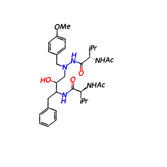 COc1ccc(CN(CC(O)C(Cc2ccccc2)NC(=O)[C@@H](NC(C)=O)C(C)C)NC(=O)[C@@H](NC(C)=O)C(C)C)cc1